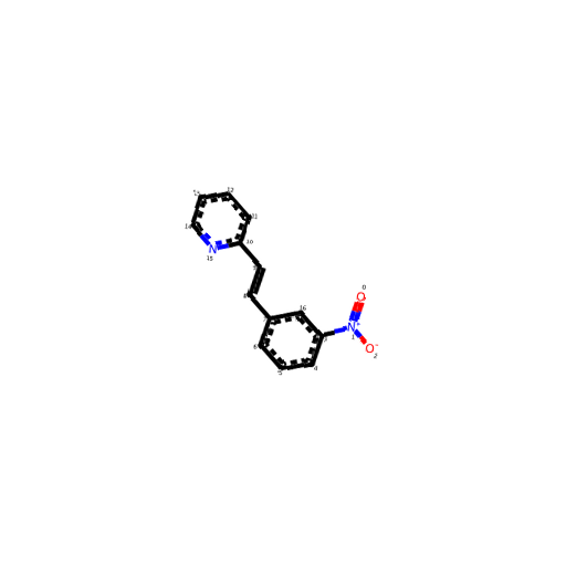 O=[N+]([O-])c1cccc(C=Cc2ccccn2)c1